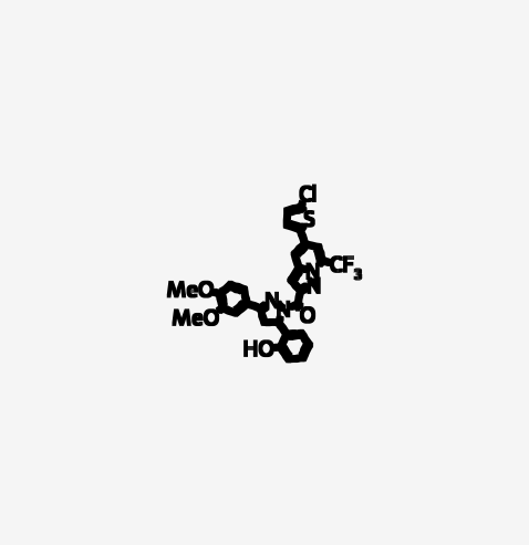 COc1ccc(C2=NN(C(=O)c3cc4cc(-c5ccc(Cl)s5)cc(C(F)(F)F)n4n3)C(c3ccccc3O)C2)cc1OC